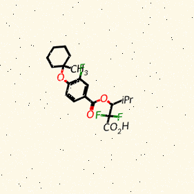 CC(C)C(OC(=O)c1ccc(OC2(C)CCCCC2)c(F)c1)C(F)(F)C(=O)O